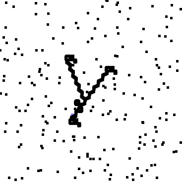 C/C=C/COC(=O)CC(CCCCCCCCCC)CCCCCCCCCCCC